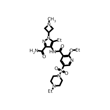 CCOc1ncc(S(=O)(=O)N2CCN(CC)CC2)cc1C(=O)Nc1c(C(N)=O)nn(C2CN(C)C2)c1CC